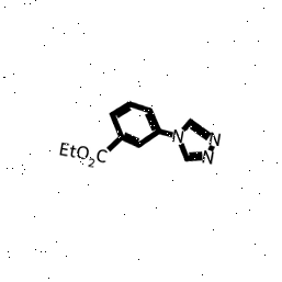 CCOC(=O)c1cccc(-n2cnnc2)c1